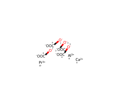 O=C([O-])[O-].O=C([O-])[O-].O=C([O-])[O-].O=C([O-])[O-].[Al+3].[Ca+2].[Pr+3]